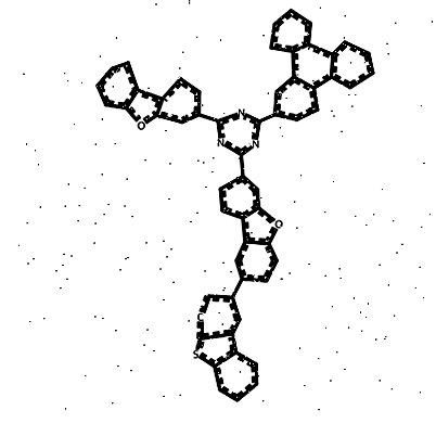 c1ccc2c(c1)oc1cc(-c3nc(-c4ccc5c(c4)oc4ccc(-c6ccc7sc8ccccc8c7c6)cc45)nc(-c4ccc5c6ccccc6c6ccccc6c5c4)n3)ccc12